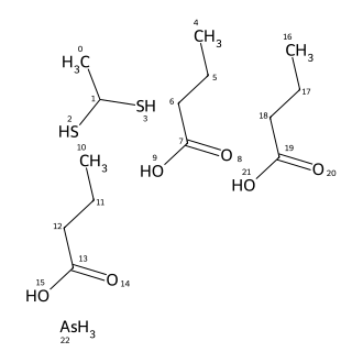 CC(S)S.CCCC(=O)O.CCCC(=O)O.CCCC(=O)O.[AsH3]